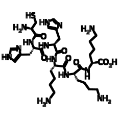 NCCCC[C@H](NC(=O)[C@H](CCCCN)NC(=O)[C@H](CCCCN)NC(=O)[C@H](Cc1c[nH]cn1)NC(=O)[C@H](Cc1c[nH]cn1)NC(=O)[C@@H](N)CS)C(=O)O